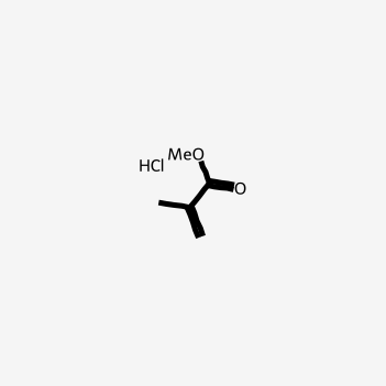 C=C(C)C(=O)OC.Cl